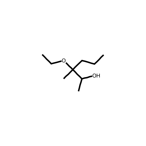 CCCC(C)(OCC)C(C)O